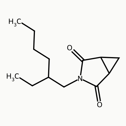 CCCCC(CC)CN1C(=O)C2CC2C1=O